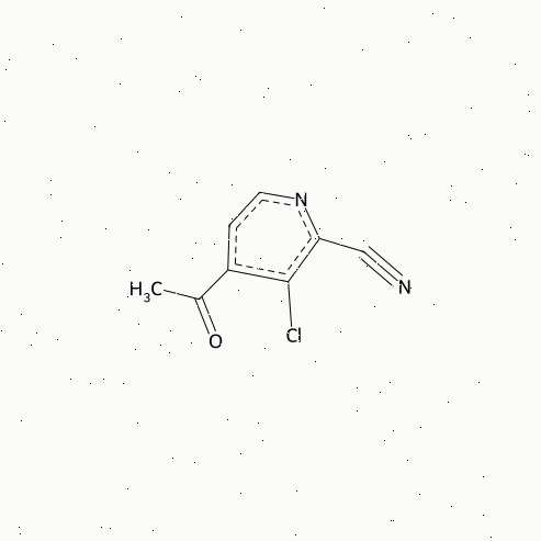 CC(=O)c1ccnc(C#N)c1Cl